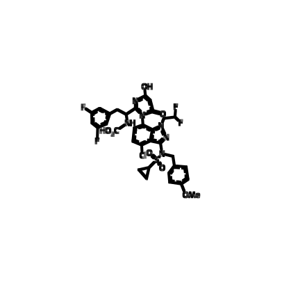 COc1ccc(CN(c2nn(CC(F)F)c3c(-n4c(C(Cc5cc(F)cc(F)c5)NC(=O)O)nc(O)cc4=O)ccc(Cl)c23)S(=O)(=O)C2CC2)cc1